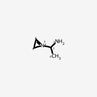 CC(N)[N+]1=CC1